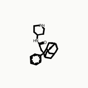 O=C(CC1(c2ccccc2)C2CC3CC(C2)CC1C3)NC1CCNCC1